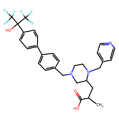 CC(CC1CN(Cc2ccc(-c3ccc(C(O)(C(F)(F)F)C(F)(F)F)cc3)cc2)CCN1Cc1ccncc1)C(=O)O